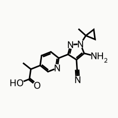 CC(C(=O)O)c1ccc(-c2nn(C3(C)CC3)c(N)c2C#N)nc1